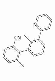 Cc1cccc(C#N)c1-c1cccc(-c2ccccn2)c1C